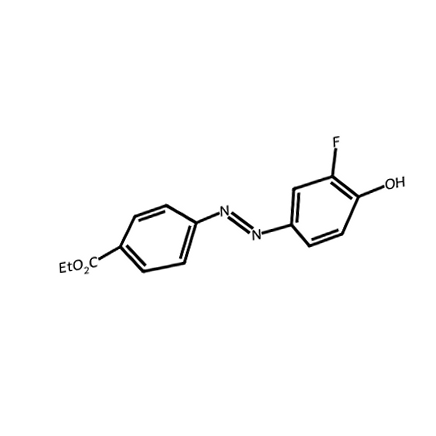 CCOC(=O)c1ccc(N=Nc2ccc(O)c(F)c2)cc1